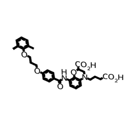 Cc1cccc(C)c1OCCCOc1ccc(C(=O)Nc2cccc3c2OC(C(=O)O)CN3CCCC(=O)O)cc1